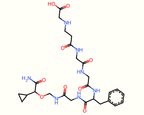 NC(=O)C(OCNC(=O)CNC(=O)C(Cc1ccccc1)NC(=O)CNC(=O)CNC(=O)CCNCC(=O)O)C1CC1